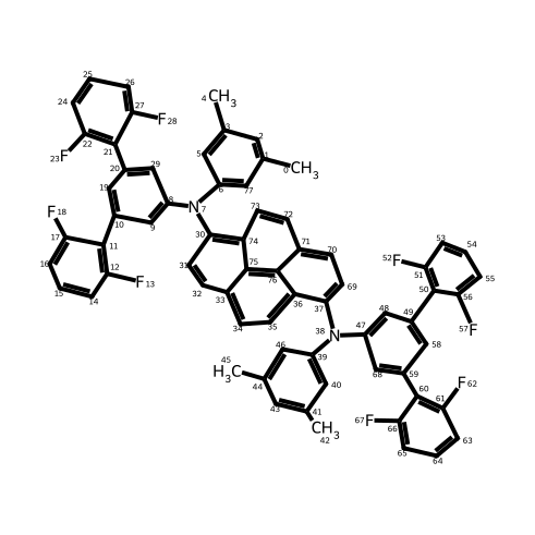 Cc1cc(C)cc(N(c2cc(-c3c(F)cccc3F)cc(-c3c(F)cccc3F)c2)c2ccc3ccc4c(N(c5cc(C)cc(C)c5)c5cc(-c6c(F)cccc6F)cc(-c6c(F)cccc6F)c5)ccc5ccc2c3c54)c1